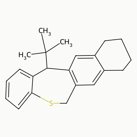 CC(C)(C)C1c2cc3c(cc2CSc2ccccc21)CCCC3